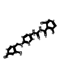 O=C(NC(=O)c1c(F)cccc1Cl)Nc1ccc(OCc2ccc(Cl)cc2Cl)nc1